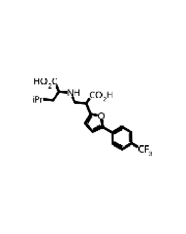 CC(C)CC(NCC(C(=O)O)c1ccc(-c2ccc(C(F)(F)F)cc2)o1)C(=O)O